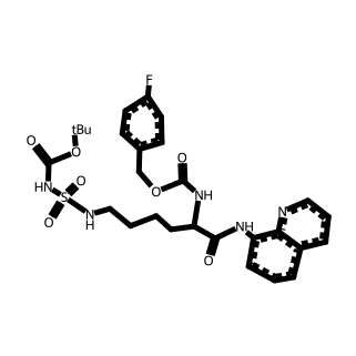 CC(C)(C)OC(=O)NS(=O)(=O)NCCCCC(NC(=O)OCc1ccc(F)cc1)C(=O)Nc1cccc2cccnc12